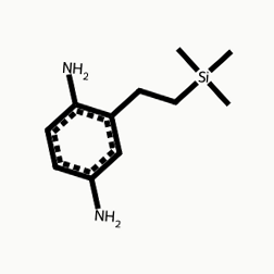 C[Si](C)(C)CCc1cc(N)ccc1N